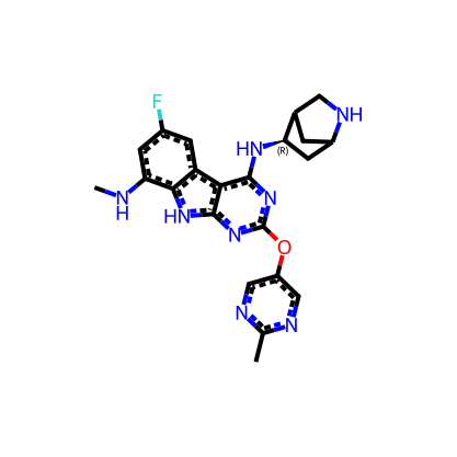 CNc1cc(F)cc2c1[nH]c1nc(Oc3cnc(C)nc3)nc(N[C@@H]3CC4CC3CN4)c12